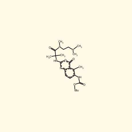 Cc1c(NC(=O)OC(C)(C)C)ccc2nc(NC(C)(C)C(=O)N(C)CCN(C)C)oc(=O)c12